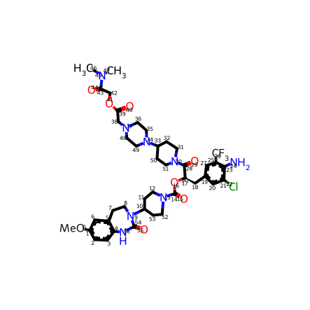 COc1ccc2c(c1)CCN(C1CCN(C(=O)O[C@H](Cc3cc(Cl)c(N)c(C(F)(F)F)c3)C(=O)N3CCC(N4CCN(CC(=O)OCC(=O)N(C)C)CC4)CC3)CC1)C(=O)N2